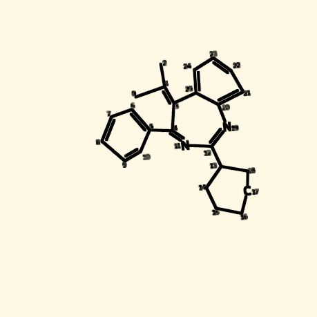 CC(C)=C1C(c2ccccc2)=NC(C2CCCCC2)=Nc2ccccc21